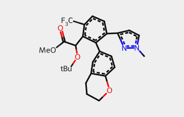 COC(=O)C(OC(C)(C)C)c1c(C(F)(F)F)ccc(-c2ccn(C)n2)c1-c1ccc2c(c1)CCCO2